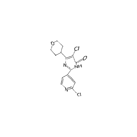 O=c1[nH]c(-c2ccnc(Cl)c2)nc(C2CCOCC2)c1Cl